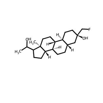 CC(O)C1CC[C@H]2[C@@H]3CC[C@H]4C[C@@](O)(CF)CC[C@@H]4[C@H]3CC[C@]12C